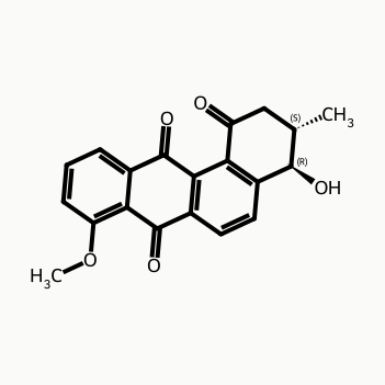 COc1cccc2c1C(=O)c1ccc3c(c1C2=O)C(=O)C[C@H](C)[C@H]3O